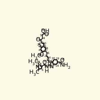 CCn1nc(C)cc1C(=O)Nc1nc2cc(C(N)=O)ccc2n1C/C=C/Cc1cc2cc(C(=O)CCC(=O)O)sc2cc1OC